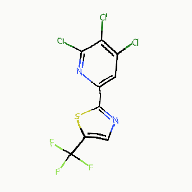 FC(F)(F)c1cnc(-c2cc(Cl)c(Cl)c(Cl)n2)s1